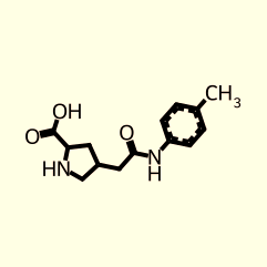 Cc1ccc(NC(=O)CC2CNC(C(=O)O)C2)cc1